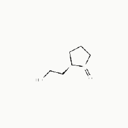 O=[PH]1CCC[C@@H]1CCO